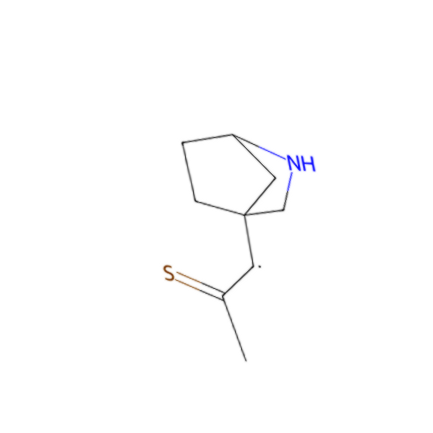 CC(=S)[CH]C12CCC(C1)NC2